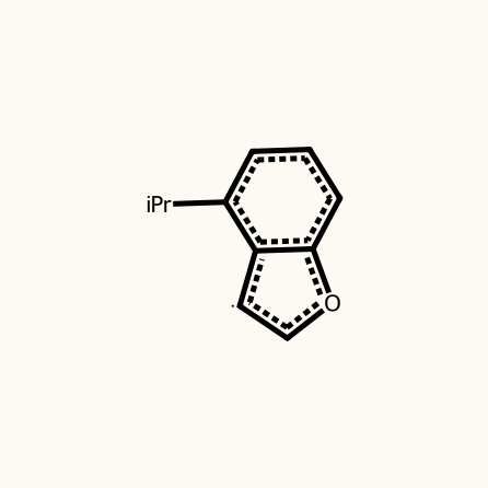 CC(C)c1cccc2oc[c]c12